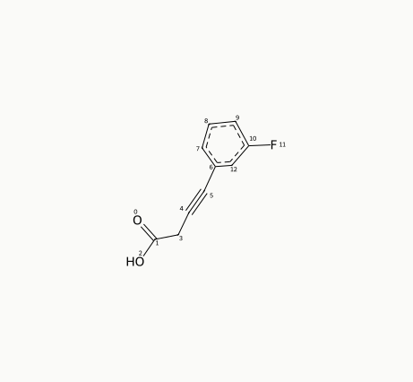 O=C(O)CC#Cc1cccc(F)c1